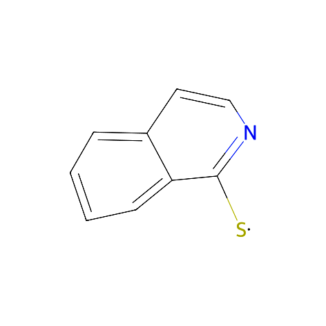 [S]c1nccc2ccccc12